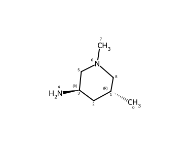 C[C@@H]1C[C@@H](N)CN(C)C1